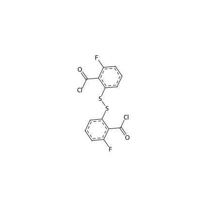 O=C(Cl)c1c(F)cccc1SSc1cccc(F)c1C(=O)Cl